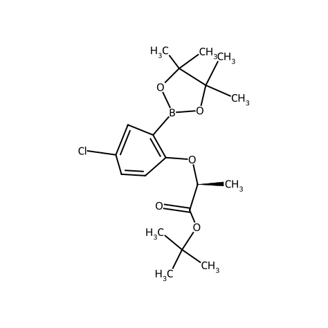 C[C@H](Oc1ccc(Cl)cc1B1OC(C)(C)C(C)(C)O1)C(=O)OC(C)(C)C